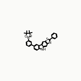 CC1(C)OB(c2cccc(-c3ccc4[nH]c5cc6nc(-c7ccccc7)sc6cc5c4c3)c2)OC1(C)C